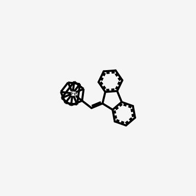 C(=C1c2ccccc2-c2ccccc21)[C]12[CH]3[CH]4[CH]5[CH]1[Fe]45321678[CH]2[CH]1[CH]6[CH]7[CH]28